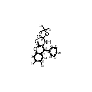 Cc1cc2oc(=O)c(NC(=O)OC(C)(C)C)c(-c3ccccc3)c2cc1C